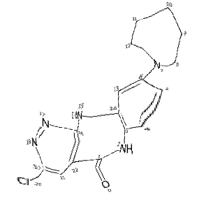 O=C1Nc2ccc(N3CCCCC3)cc2Nc2nnc(Cl)cc21